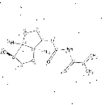 C=C(C)C(=O)NC(=O)O[C@H]1CO[C@H]2[C@@H]1OC[C@H]2OC(C)=O